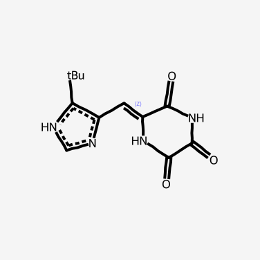 CC(C)(C)c1[nH]cnc1/C=C1\NC(=O)C(=O)NC1=O